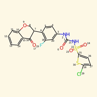 O=C(Nc1ccc(C2COc3ccccc3C2=O)c(F)c1)NS(=O)(=O)c1ccc(Cl)s1